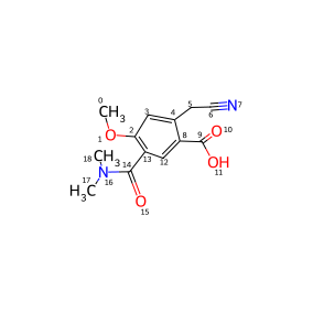 COc1cc(CC#N)c(C(=O)O)cc1C(=O)N(C)C